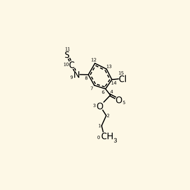 CCCOC(=O)c1cc(N=C=S)ccc1Cl